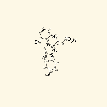 CCc1cccc2c1N(Cc1nc3cc(F)ccc3s1)C(=O)C(CC(=O)O)O2